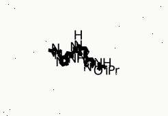 Cc1cn(-c2nccc3[nH]c(-c4n[nH]c5ccc(-c6cncc(NC(=O)CC(C)C)c6)nc45)cc23)cn1